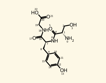 N[C@@H](CO)C(=O)N[C@@H](Cc1ccc(O)cc1)C(=O)NCC(=O)O